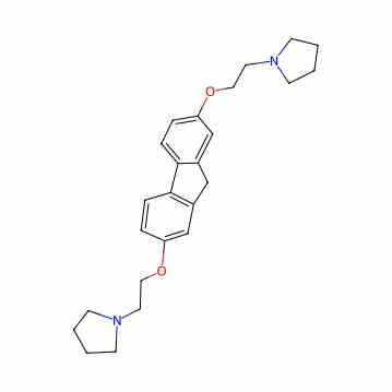 c1cc2c(cc1OCCN1CCCC1)Cc1cc(OCCN3CCCC3)ccc1-2